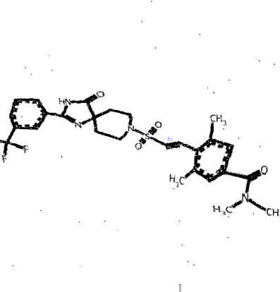 Cc1cc(C(=O)N(C)C)cc(C)c1/C=C/S(=O)(=O)N1CCC2(CC1)N=C(c1cccc(C(F)(F)F)c1)NC2=O